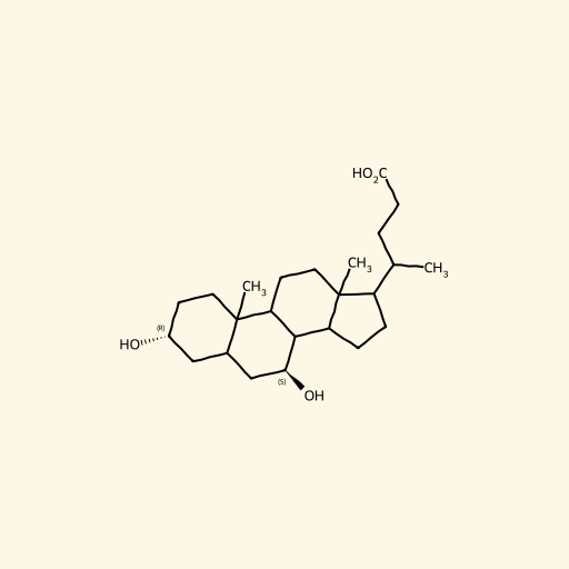 CC(CCC(=O)O)C1CCC2C3C(CCC12C)C1(C)CC[C@@H](O)CC1C[C@@H]3O